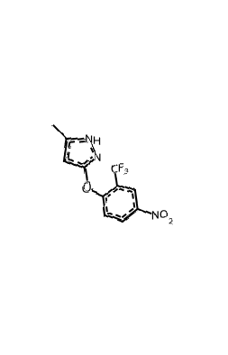 Cc1cc(Oc2ccc([N+](=O)[O-])cc2C(F)(F)F)n[nH]1